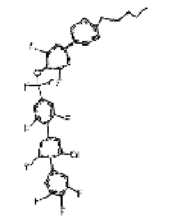 CCCCCc1ccc(-c2cc(F)c(OC(F)(F)c3cc(F)c(-c4cc(F)c(-c5cc(F)c(F)c(F)c5)c(Cl)c4)c(F)c3)c(F)c2)cc1